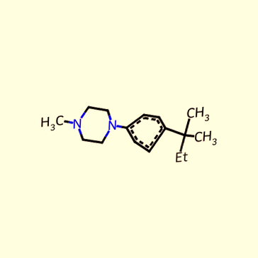 CCC(C)(C)c1ccc(N2CCN(C)CC2)cc1